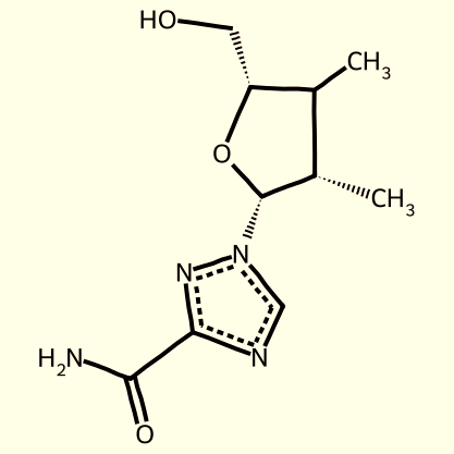 CC1[C@@H](CO)O[C@@H](n2cnc(C(N)=O)n2)[C@H]1C